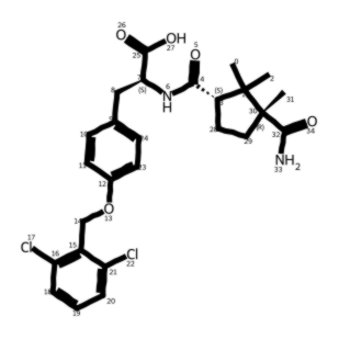 CC1(C)[C@@H](C(=O)N[C@@H](Cc2ccc(OCc3c(Cl)cccc3Cl)cc2)C(=O)O)CC[C@@]1(C)C(N)=O